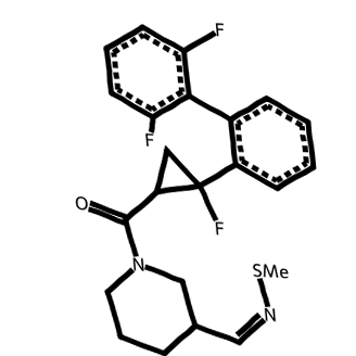 CS/N=C\C1CCCN(C(=O)C2CC2(F)c2ccccc2-c2c(F)cccc2F)C1